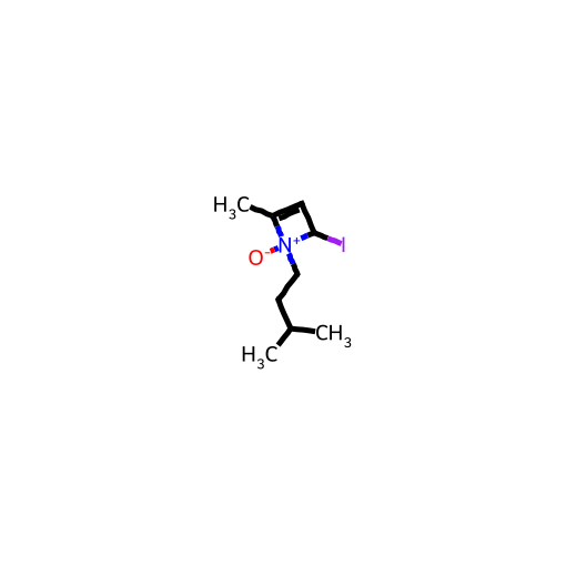 CC1=CC(I)[N+]1([O-])CCC(C)C